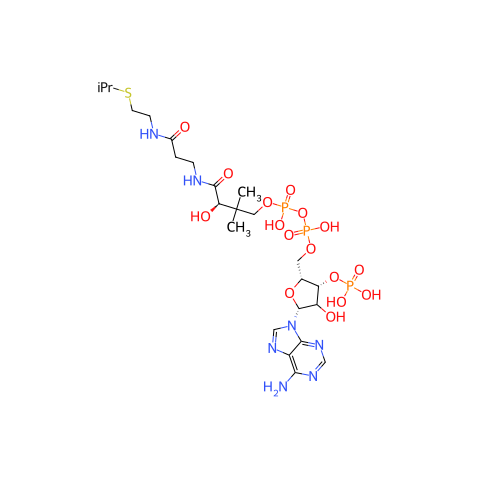 CC(C)SCCNC(=O)CCNC(=O)[C@H](O)C(C)(C)COP(=O)(O)OP(=O)(O)OC[C@H]1O[C@@H](n2cnc3c(N)ncnc32)C(O)[C@H]1OP(=O)(O)O